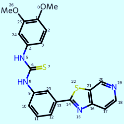 COc1ccc(NC(=S)Nc2cccc(-c3nc4ccncc4s3)c2)cc1OC